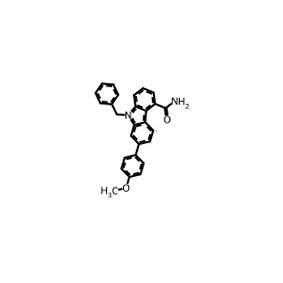 COc1ccc(-c2c[c]c3c4c(C(N)=O)cccc4n(Cc4ccccc4)c3c2)cc1